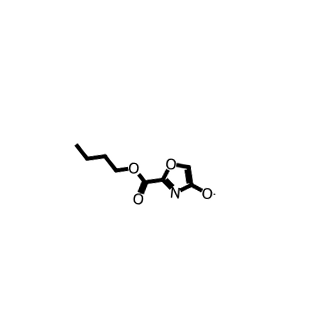 CCCCOC(=O)c1nc([O])co1